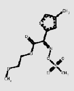 COCCOC(=O)C(=NOS(C)(=O)=O)c1cc(C)cs1